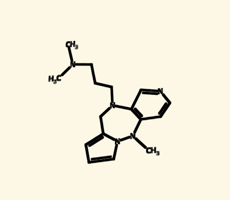 CN(C)CCCN1Cc2cccn2N(C)c2ccncc21